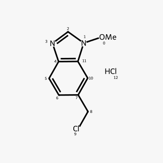 COn1cnc2ccc(CCl)cc21.Cl